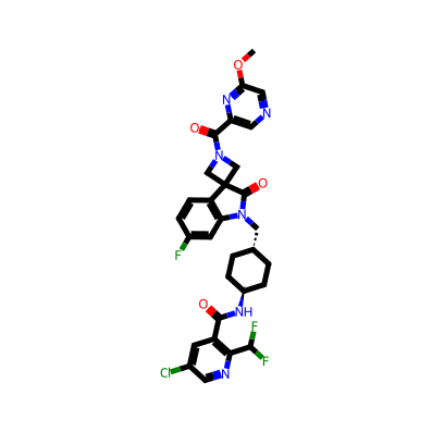 COc1cncc(C(=O)N2CC3(C2)C(=O)N(C[C@H]2CC[C@H](NC(=O)c4cc(Cl)cnc4C(F)F)CC2)c2cc(F)ccc23)n1